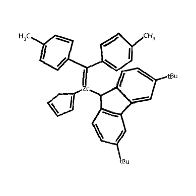 Cc1ccc([C](c2ccc(C)cc2)=[Zr]([C]2=CC=CC2)[CH]2c3ccc(C(C)(C)C)cc3-c3cc(C(C)(C)C)ccc32)cc1